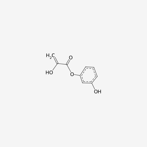 C=C(O)C(=O)Oc1cccc(O)c1